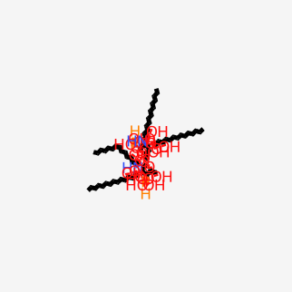 CCCCCC/C=C\CCCC(O)CC(=O)NC1[C@H](OCC2O[C@H](O[PH](O)(O)O)C(NC(=O)CC(O)CCCCCCCCCCC)[C@@H](OC(=O)CC(O)CCCCCCCCCCC)[C@@H]2O)OC(CO)[C@@H](O[PH](O)(O)O)[C@@H]1OC(=O)CC(O)CCCCCCCCCCC